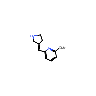 COc1cccc(/C=C2\CCNC2)n1